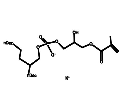 C=C(C)C(=O)OCC(O)COP(=O)([O-])OCC(CCCCCCCCCC)CCCCCCCCCCCC.[K+]